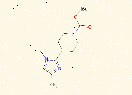 Cn1cc(C(F)(F)F)nc1C1CCN(C(=O)OC(C)(C)C)CC1